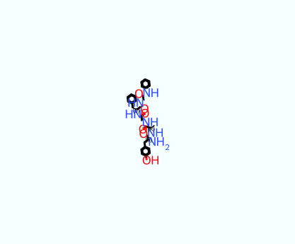 C[C@@H](NC(=O)[C@@H](N)Cc1ccc(O)cc1)C(=O)NCC(=O)N[C@@H](Cc1ccccc1)C(=O)NCC(=O)Nc1ccccc1